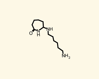 NCCCCCCNC1CCCCC(=O)N1